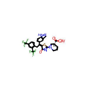 O=C1N=C(N2CCC[C@@H](C(=O)O)C2)SC1=C(Cc1ccc(C(F)(F)F)cc1C(F)(F)F)c1ccc2[nH]ncc2c1